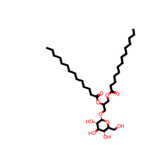 CCCCCCCCCCCCCC(=O)OCC(CO[C@@H]1OC(CO)[C@H](O)C(O)[C@@H]1O)OC(=O)CCCCCCCCCCCCC